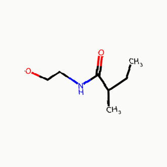 CCC(C)C(=O)NCC[O]